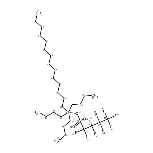 CCCCCCCCCCCCCCP(CCCC)(CCCC)(CCCC)OS(=O)(=O)C(F)(F)C(F)(F)C(F)(F)C(F)(F)F